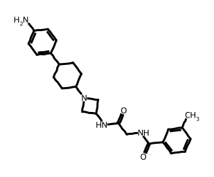 Cc1cccc(C(=O)NCC(=O)NC2CN(C3CCC(c4ccc(N)cc4)CC3)C2)c1